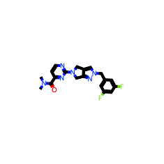 CN(C)C(=O)c1ccnc(N2Cc3cn(Cc4cc(F)cc(F)c4)nc3C2)n1